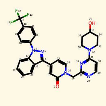 O=c1cc(-c2nn(-c3ccc(C(F)(F)F)cc3)c3ccccc23)ccn1Cc1nccc(N2CCC(O)CC2)n1